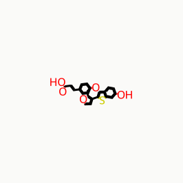 Cc1occc1-c1sc2cc(O)ccc2c1Oc1ccc(C=CC(=O)O)cc1